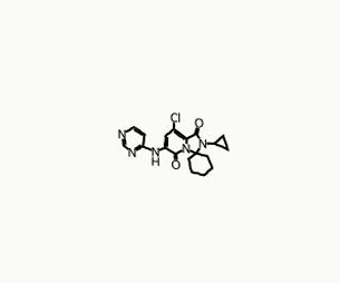 O=C1c2c(Cl)cc(Nc3ccncn3)c(=O)n2C2(CCCCC2)N1C1CC1